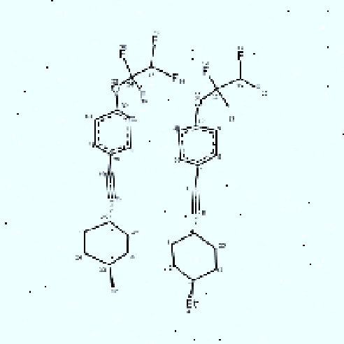 CC[C@H]1CC[C@H](C#Cc2ccc(OC(F)(F)C(F)F)cc2)CC1.C[C@H]1CC[C@H](C#Cc2ccc(OC(F)(F)C(F)F)cc2)CC1